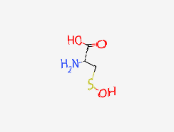 NC(CSO)C(=O)O